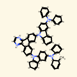 CC1C=CC=CC1N(c1ccccc1)c1ccc2c(c1)c1c(n2-c2ccc3c(c2)c2cc(-n4c5ccccc5c5cc(N(c6ccccc6)c6ccccc6)ccc54)ccc2c2nccnc32)CCC=C1